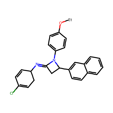 CCOc1ccc(N2/C(=N/C3C=CC(Cl)=CC3)CC2c2ccc3ccccc3c2)cc1